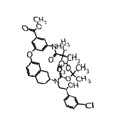 COC(=O)c1cc(NC(=O)C(C)(C)C)cc(Oc2ccc3c(c2)C[C@@H](N(C[C@@H](O)c2cccc(Cl)c2)C(=O)OC(C)(C)C)CC3)c1